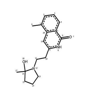 Cc1cccc2c(=O)[nH]c(CCN3CCCC3(C)O)cc12